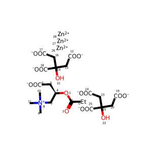 CCC(=O)O[C@H](CC(=O)[O-])C[N+](C)(C)C.O=C([O-])CC(O)(CC(=O)[O-])C(=O)[O-].O=C([O-])CC(O)(CC(=O)[O-])C(=O)[O-].[Zn+2].[Zn+2].[Zn+2]